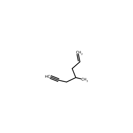 C#CC[C](C)CC=C